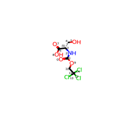 O=C(N[C@@H](CO)C(=O)O)OCC(Cl)(Cl)Cl